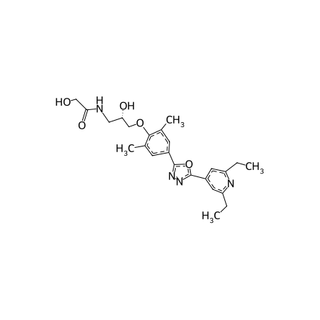 CCc1cc(-c2nnc(-c3cc(C)c(OC[C@@H](O)CNC(=O)CO)c(C)c3)o2)cc(CC)n1